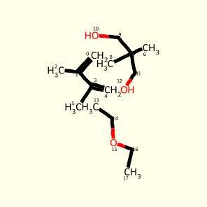 C=C(C)C(=C)C.CC(C)(CO)CO.CCOCC